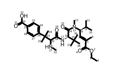 CCOC(=O)C(C)=C[C@H](C(C)C)N(C)C(=O)[C@@H](NC(=O)C(NC)C(C)(C)c1ccc(C(=O)O)cc1)C(C)(C)C